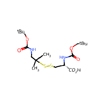 CC(C)(C)OC(=O)NCC(C)(C)SSC[C@H](NC(=O)OC(C)(C)C)C(=O)O